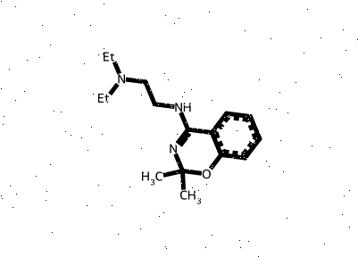 CCN(CC)CCNC1=NC(C)(C)Oc2ccccc21